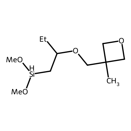 CCC(C[SiH](OC)OC)OCC1(C)COC1